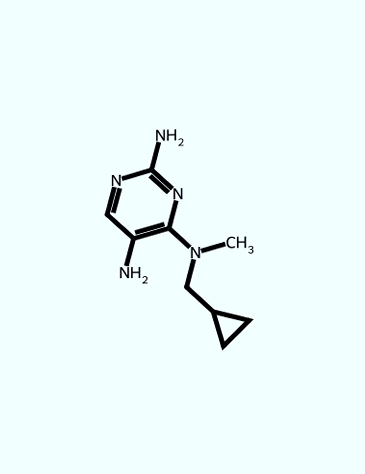 CN(CC1CC1)c1nc(N)ncc1N